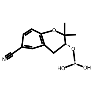 CC1(C)Oc2ccc(C#N)cc2C[C@H]1OP(O)O